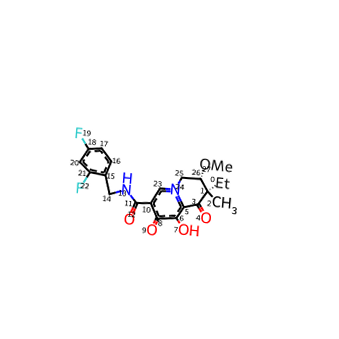 CC[C@]1(C)C(=O)c2c(O)c(=O)c(C(=O)NCc3ccc(F)cc3F)cn2C[C@@H]1OC